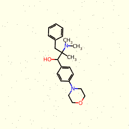 CN(C)C(C)(Cc1ccccc1)C(O)c1ccc(N2CCOCC2)cc1